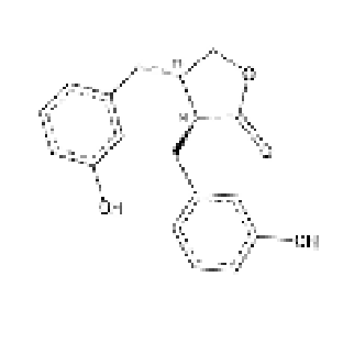 O=C1OC[C@@H](Cc2cccc(O)c2)[C@@H]1Cc1cccc(O)c1